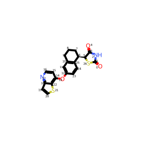 O=C1NC(=O)C([C@@H]2CCCc3cc(Oc4ccnc5ccsc45)ccc32)S1